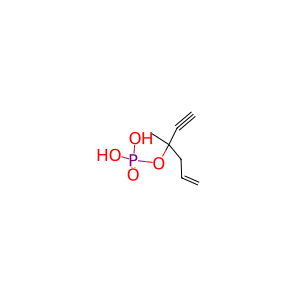 C#CC(C)(CC=C)OP(=O)(O)O